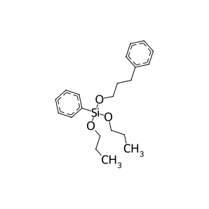 CCCO[Si](OCCC)(OCCCc1ccccc1)c1ccccc1